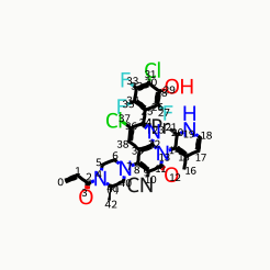 C=CC(=O)N1CCN(c2c(C#N)c(=O)n(C3=C(C)C=CNC3C(C)C)c3nc(-c4c(F)c(O)c(Cl)c(F)c4F)c(Cl)cc23)C[C@H]1C